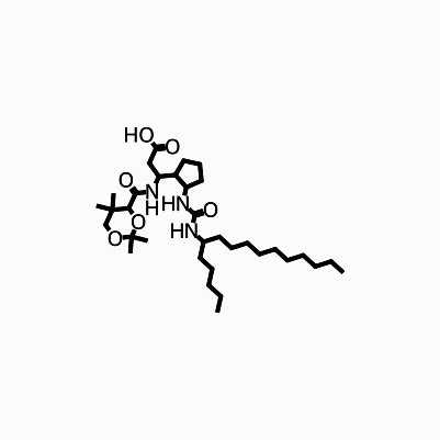 CCCCCCCCCCC(CCCCC)NC(=O)NC1CCCC1C(CC(=O)O)NC(=O)C1OC(C)(C)OCC1(C)C